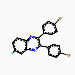 Fc1ccc2nc(-c3ccc(Br)cc3)c(-c3ccc(Br)cc3)nc2c1